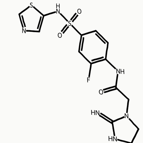 N=C1NCCN1CC(=O)Nc1ccc(S(=O)(=O)Nc2cncs2)cc1F